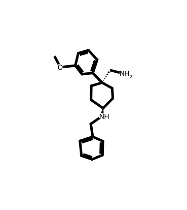 COc1cccc([C@]2(CN)CC[C@H](NCc3ccccc3)CC2)c1